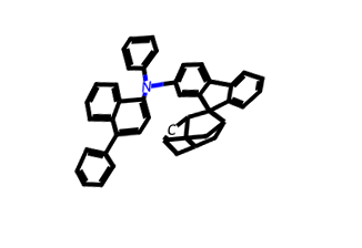 c1ccc(-c2ccc(N(c3ccccc3)c3ccc4c(c3)C3(c5ccccc5-4)C4CC5CC(C4)CC3C5)c3ccccc23)cc1